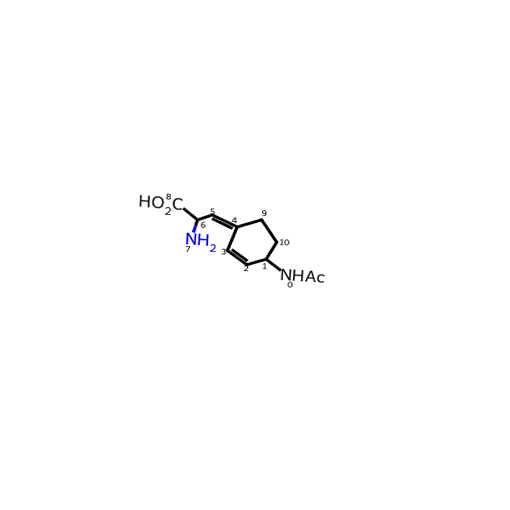 CC(=O)NC1C=C/C(=C\C(N)C(=O)O)CC1